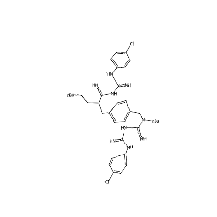 CCCCN(Cc1ccc(CC(CCC(C)(C)C)C(=N)NC(=N)Nc2ccc(Cl)cc2)cc1)C(=N)NC(=N)Nc1ccc(Cl)cc1